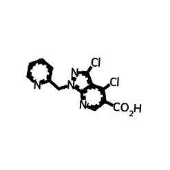 O=C(O)c1cnc2c(c(Cl)nn2Cc2ccccn2)c1Cl